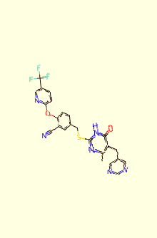 Cc1nc(SCc2ccc(Oc3ccc(C(F)(F)F)cn3)c(C#N)c2)[nH]c(=O)c1Cc1cncnc1